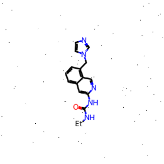 CCNC(=O)Nc1cc2cccc(Cn3ccnc3)c2cn1